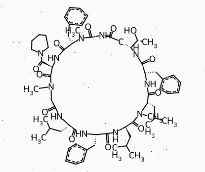 CC(C)C[C@@H]1NC(=O)CN(C)C(=O)[C@@H](C(=O)N2CCCCC2)NC(=O)[C@H](Cc2ccccc2)N(C)C(=O)NC(=O)C[C@H]([C@@H](C)O)NC(=O)[C@H](Cc2ccccc2)NC(=O)[C@H](CC(C)C)N(C)C(=O)[C@@H](CC(C)C)NC(=O)[C@H](Cc2ccccc2)NC1=O